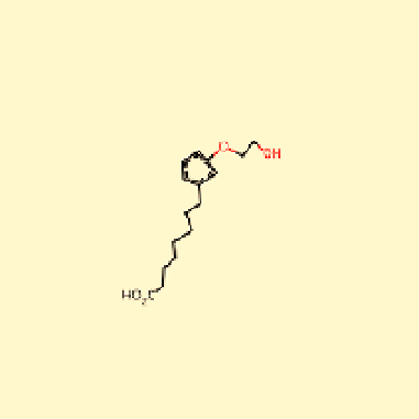 O=C(O)CCCCCCCc1cccc(OCCO)c1